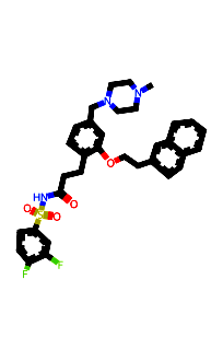 CN1CCN(Cc2ccc(CCC(=O)NS(=O)(=O)c3ccc(F)c(F)c3)c(OCCc3ccc4ccccc4c3)c2)CC1